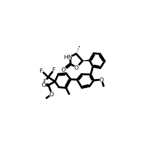 COC(=O)C1(C(F)(F)F)C=CC(c2ccc(OC)c(-c3ccccc3[C@H]3OC(=O)N[C@@H]3C)c2)=C(C)C1